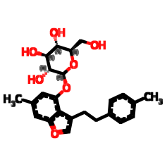 Cc1ccc(CCc2coc3cc(C)cc(O[C@@H]4O[C@H](CO)[C@@H](O)[C@H](O)[C@H]4O)c23)cc1